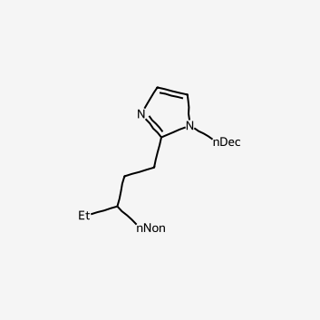 CCCCCCCCCCn1ccnc1CCC(CC)CCCCCCCCC